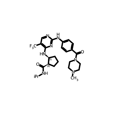 CC(C)NC(=O)[C@@H]1CCC[C@@H]1Nc1nc(Nc2ccc(C(=O)N3CCN(C)CC3)cc2)ncc1C(F)(F)F